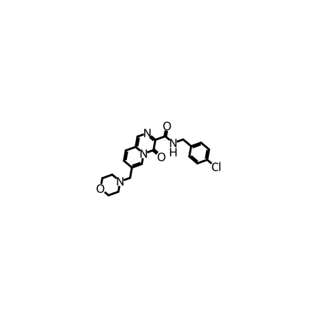 O=C(NCc1ccc(Cl)cc1)c1ncc2ccc(CN3CCOCC3)cn2c1=O